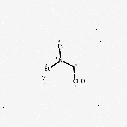 CCN(CC)CC=O.[Y]